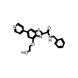 O=C(NCc1ccccc1)c1nc2c(OCCO)cc(-c3ccncc3)cc2s1